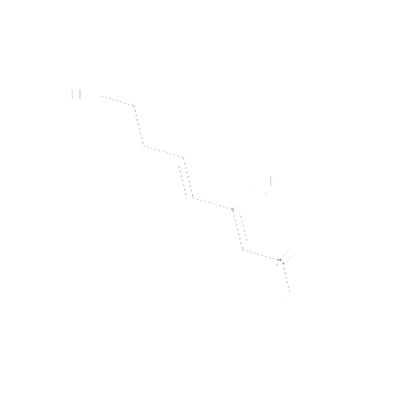 CCC/C=C/C(O)=C/C(=O)O